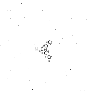 C.C.[Cr].[Cr].[Cr]